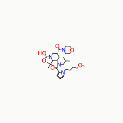 COCCCCn1cccc1C(=O)N(CC(C)C)[C@H]1C[C@@H](C(=O)N2CCOCC2)CN(C(=O)O)C1C(C)(C)C